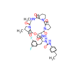 CCc1ccc(NC(=O)N[C@@H](Cc2cc(F)cc(F)c2)C(=O)NC2C(=O)N3CCC[C@H]3C(=O)N3CCCC[C@H]3C(=O)N[C@@H](C)C(=O)N3C[C@@H](C)C[C@H]3C(=O)O[C@H]2C)cc1